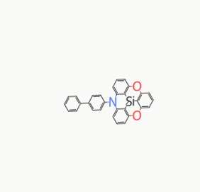 C[Si]12c3c4cccc3Oc3cccc(c31)N(c1ccc(-c3ccccc3)cc1)c1cccc(c12)O4